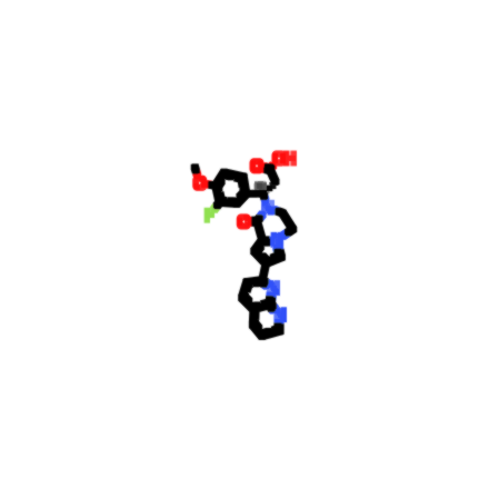 COc1ccc([C@H](CC(=O)O)N2CCn3cc(-c4ccc5cccnc5n4)cc3C2=O)cc1F